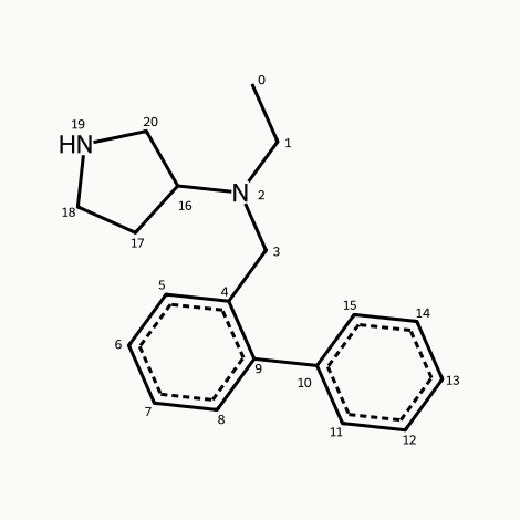 CCN(Cc1ccccc1-c1ccccc1)C1CCNC1